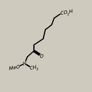 CON(C)CC(=O)CCCCCC(=O)O